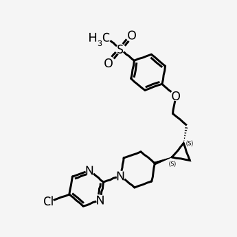 CS(=O)(=O)c1ccc(OCC[C@@H]2C[C@H]2C2CCN(c3ncc(Cl)cn3)CC2)cc1